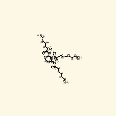 O=C(CCCCCS)Nc1ncnc(NC(=O)CCCCCS)c1NC(=O)CCCCCS